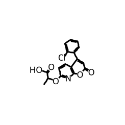 CC(Oc1ccc2c(-c3ccccc3Cl)cc(=O)oc2n1)C(=O)O